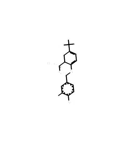 Cc1cc(CNC2=CC=C(C(F)(C(F)(F)F)C(F)(F)F)CC2[C@@H](C)N)ccc1[N+](=O)[O-]